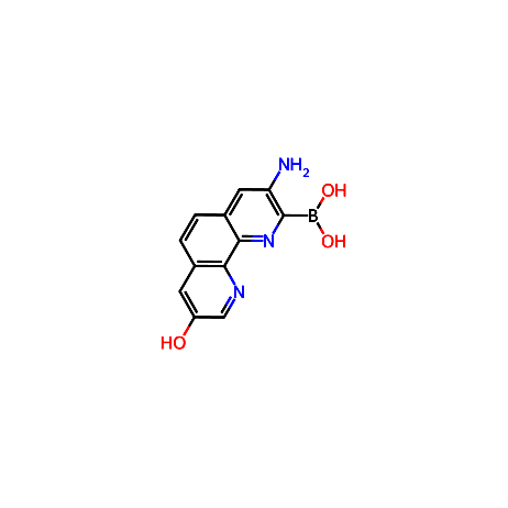 Nc1cc2ccc3cc(O)cnc3c2nc1B(O)O